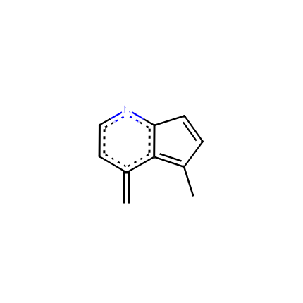 C=c1ccnc2c1=C(C)C=C2